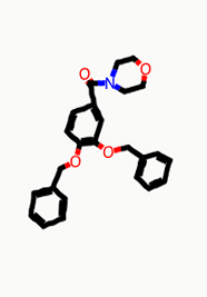 O=C(c1ccc(OCc2ccccc2)c(OCc2ccccc2)c1)N1CCOCC1